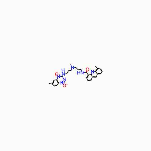 Cc1ccc2c(c1)[n+]([O-])c(NCCCN(C)CCCNC(=O)c1cccc3cc4cccc(C)c4nc13)n[n+]2[O-]